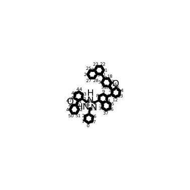 c1ccc(C2=NC(c3ccc(-c4cccc5oc6cc(-c7cccc8ccccc78)ccc6c45)c4ccccc34)NC(c3cccc4oc5ccccc5c34)N2)cc1